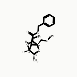 CC(C)OC[C@]12O[C@@H](C)[C@H](OC1C(=O)OCc1ccccc1)[C@@H]2OC(C)C